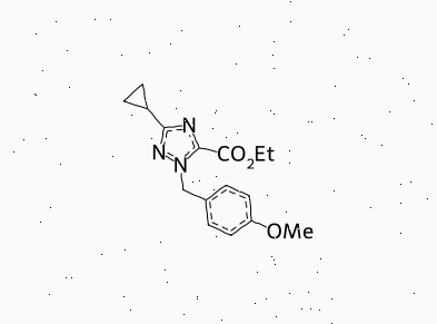 CCOC(=O)c1nc(C2CC2)nn1Cc1ccc(OC)cc1